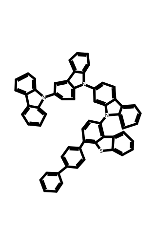 c1ccc(-c2ccc(-c3ccc(-n4c5ccccc5c5ccc(-n6c7ccccc7c7cc(-n8c9ccccc9c9ccccc98)ccc76)cc54)c4c3sc3ccccc34)cc2)cc1